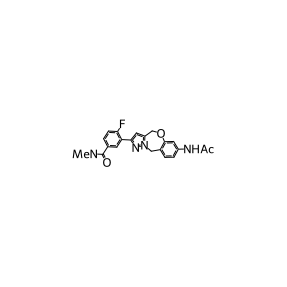 CNC(=O)c1ccc(F)c(-c2cc3n(n2)Cc2ccc(NC(C)=O)cc2OC3)c1